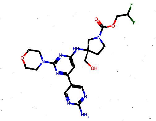 Nc1ncc(-c2cc(N[C@@]3(CO)CCN(C(=O)OCC(F)F)C3)nc(N3CCOCC3)n2)cn1